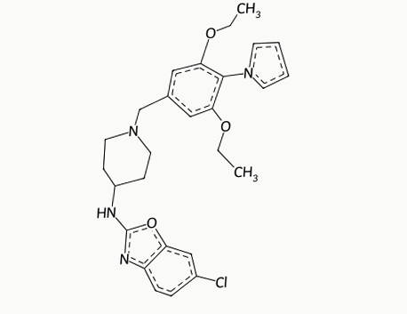 CCOc1cc(CN2CCC(Nc3nc4ccc(Cl)cc4o3)CC2)cc(OCC)c1-n1cccc1